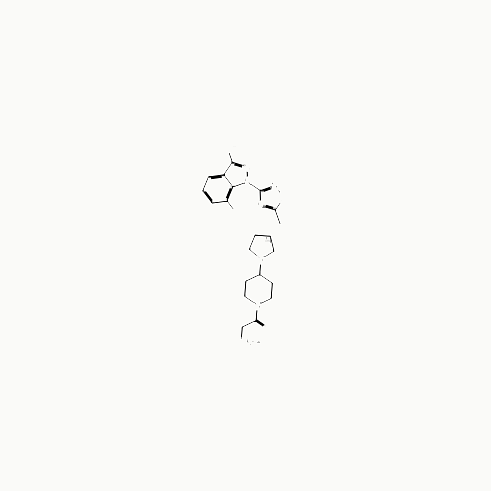 COCC(=O)N1CCC(N2CC[C@H](Cc3nc(-n4nc(C(C)C)c5cccc(F)c54)no3)C2)CC1